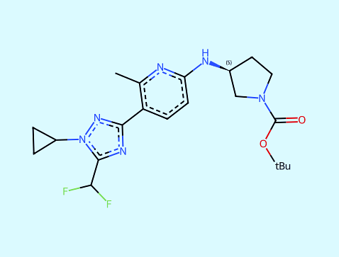 Cc1nc(N[C@H]2CCN(C(=O)OC(C)(C)C)C2)ccc1-c1nc(C(F)F)n(C2CC2)n1